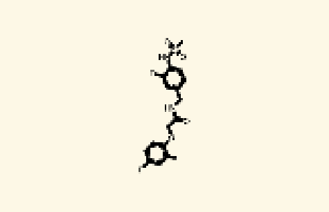 CS(=O)(=O)Nc1ccc(CNC(=O)COc2ccc(F)cc2F)cc1F